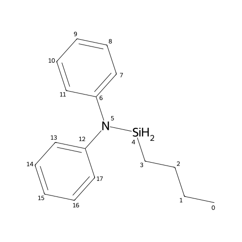 CCCC[SiH2]N(c1ccccc1)c1ccccc1